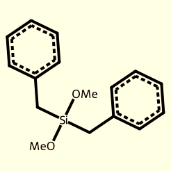 CO[Si](Cc1ccccc1)(Cc1ccccc1)OC